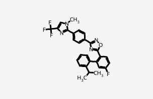 CC(C)c1ccccc1-c1cc(F)ccc1-c1nc(-c2ccc(-c3nc(C(F)(F)F)cn3C)cc2)no1